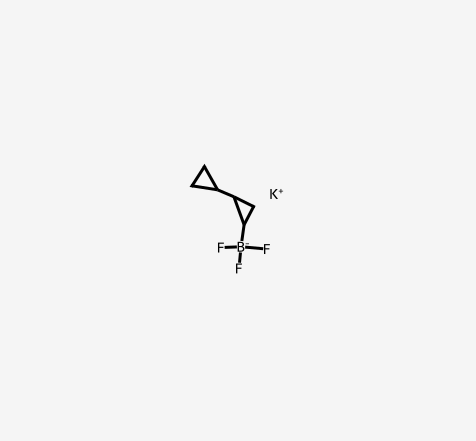 F[B-](F)(F)C1CC1C1CC1.[K+]